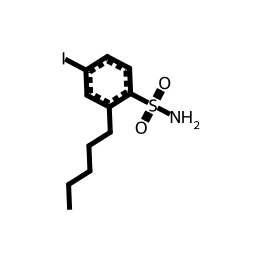 CCCCCc1cc(I)ccc1S(N)(=O)=O